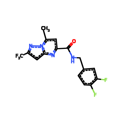 Cc1cc(C(=O)NCc2ccc(F)c(F)c2)nc2cc(C(F)(F)F)nn12